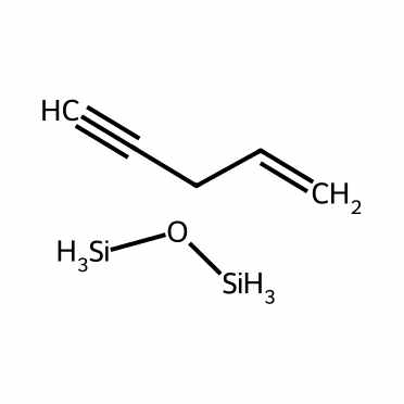 C#CCC=C.[SiH3]O[SiH3]